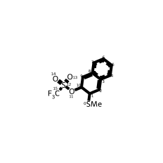 CSC1C=c2ccccc2=CC1OS(=O)(=O)C(F)(F)F